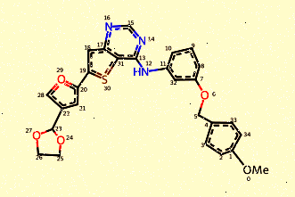 COc1ccc(COc2cccc(Nc3ncnc4cc(-c5cc(C6OCCO6)co5)sc34)c2)cc1